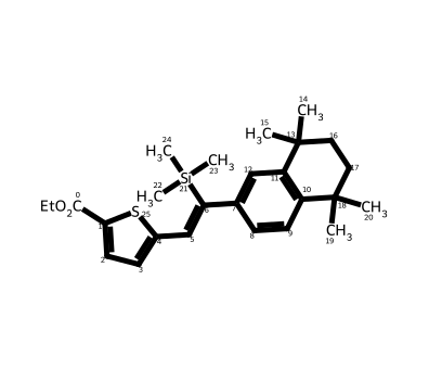 CCOC(=O)c1ccc(/C=C(/c2ccc3c(c2)C(C)(C)CCC3(C)C)[Si](C)(C)C)s1